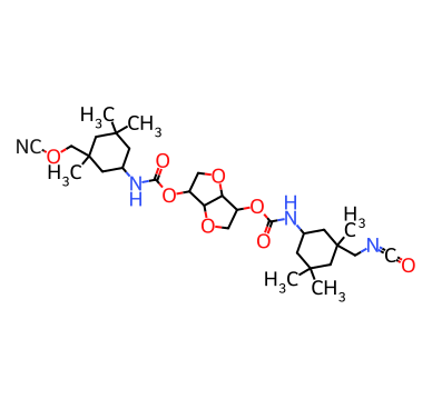 CC1(C)CC(NC(=O)OC2COC3C(OC(=O)NC4CC(C)(C)CC(C)(COC#N)C4)COC23)CC(C)(CN=C=O)C1